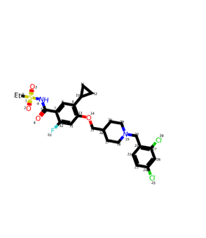 CCS(=O)(=O)NC(=O)c1cc(C2CC2)c(OCC2CCN(Cc3ccc(Cl)cc3Cl)CC2)cc1F